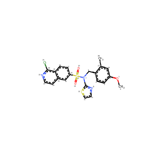 COc1ccc(CN(c2nccs2)S(=O)(=O)c2ccc3c(Cl)nccc3c2)c(C)c1